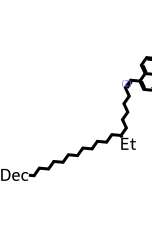 CCCCCCCCCCCCCCCCCCCCCCC(CC)CCCCC/C=C\c1cccc2ccccc12